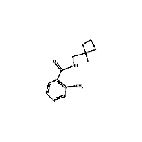 CC1(CNC(=O)c2ccncc2N)CCC1